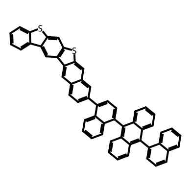 c1ccc2c(-c3c4ccccc4c(-c4ccc(-c5ccc6cc7c(cc6c5)sc5cc6sc8ccccc8c6cc57)c5ccccc45)c4ccccc34)cccc2c1